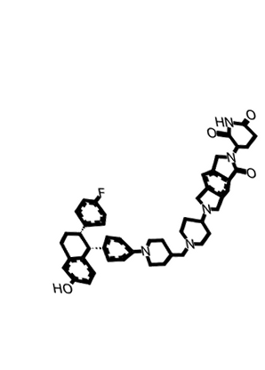 O=C1CCC(N2Cc3cc4c(cc3C2=O)CN(C2CCN(CC3CCN(c5ccc([C@@H]6c7ccc(O)cc7CC[C@@H]6c6ccc(F)cc6)cc5)CC3)CC2)C4)C(=O)N1